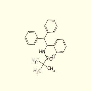 CC(C)(C)[S@@+]([O-])NC(c1ccccc1Cl)C(c1ccccc1)c1ccccc1